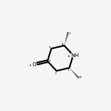 C[C@@H]1CC(=O)C[C@H](C)N1